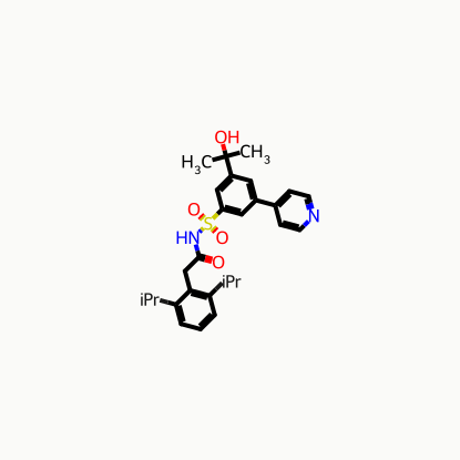 CC(C)c1cccc(C(C)C)c1CC(=O)NS(=O)(=O)c1cc(-c2ccncc2)cc(C(C)(C)O)c1